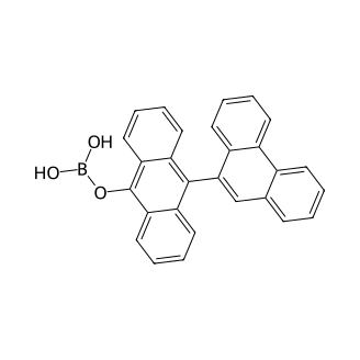 OB(O)Oc1c2ccccc2c(-c2cc3ccccc3c3ccccc23)c2ccccc12